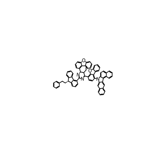 CCC1C(c2ccc(-n3c4cc5ccccc5cc4c4c5ccccc5ccc43)c3c2oc2ccccc23)=NC(c2cccc3c2-c2ccccc2[C@@H]3CCc2ccccc2)=NC1c1cccc2oc3ccccc3c12